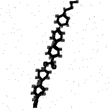 CCCC[C@H]1CC[C@H](c2ccc(-c3ccc(C(=O)O[C@H]4CC[C@H](c5ccc(C#N)cc5)CC4)cc3)cc2)CC1